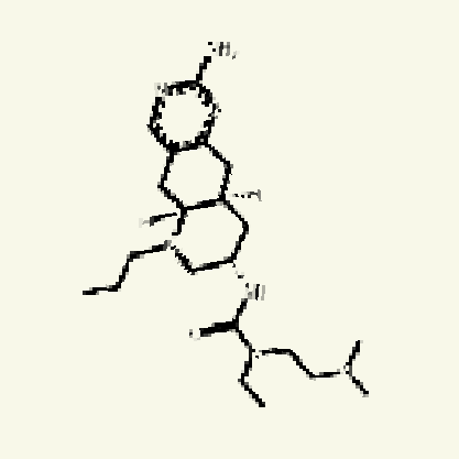 CCCN1C[C@@H](NC(=O)N(CC)CCN(C)C)C[C@@H]2Cc3nc(N)ncc3C[C@H]21